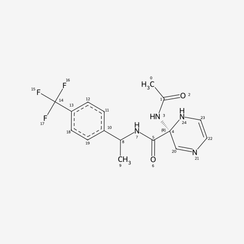 CC(=O)N[C@@]1(C(=O)NC(C)c2ccc(C(F)(F)F)cc2)C=NC=CN1